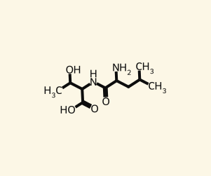 CC(C)CC(N)C(=O)NC(C(=O)O)C(C)O